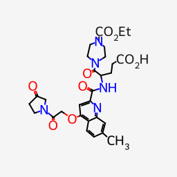 CCOC(=O)N1CCN(C(=O)C(CCC(=O)O)NC(=O)c2cc(OCC(=O)N3CCC(=O)C3)c3ccc(C)cc3n2)CC1